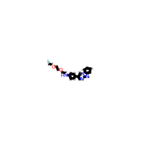 FCCOCCOCCNc1ccc(-c2cnc3nc4ccccc4n3c2)cc1